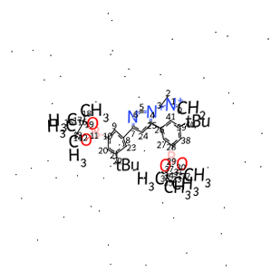 C=[N+]1CC1[n+]1cnc(-c2cc(B3OC(C)(C)C(C)(C)O3)cc(C(C)(C)C)c2)cc1-c1cc(B2OC(C)(C)C(C)(C)O2)cc(C(C)(C)C)c1